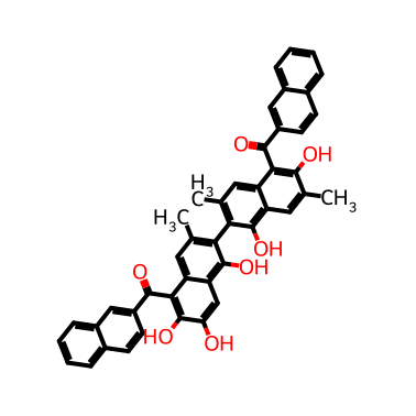 Cc1cc2c(O)c(-c3c(C)cc4c(C(=O)c5ccc6ccccc6c5)c(O)c(O)cc4c3O)c(C)cc2c(C(=O)c2ccc3ccccc3c2)c1O